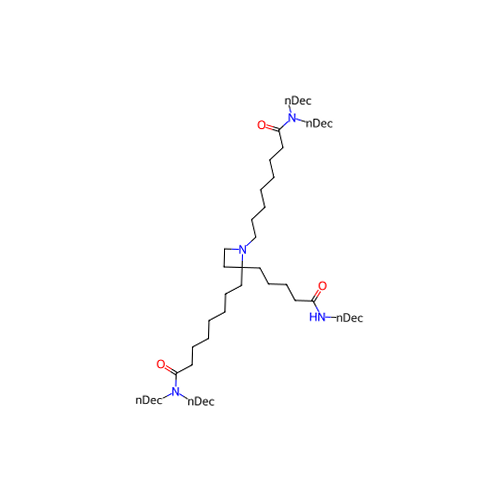 CCCCCCCCCCNC(=O)CCCCC1(CCCCCCCC(=O)N(CCCCCCCCCC)CCCCCCCCCC)CCN1CCCCCCCC(=O)N(CCCCCCCCCC)CCCCCCCCCC